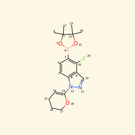 CC1(C)OB(c2ccc3c(cnn3C3=CCCCO3)c2F)OC1(C)C